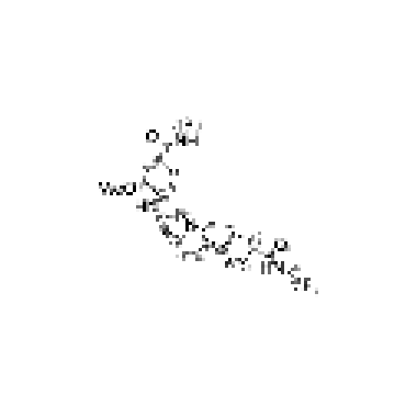 COc1cc(C(=O)NC(C)(C)C)ccc1Nc1nc2ccc(-c3ccc(C(=O)NCC(F)(F)F)cc3)cn2n1